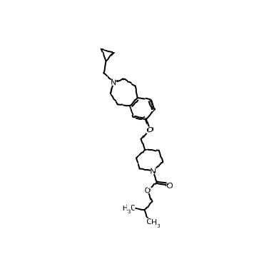 CC(C)COC(=O)N1CCC(COc2ccc3c(c2)CCN(CC2CC2)CC3)CC1